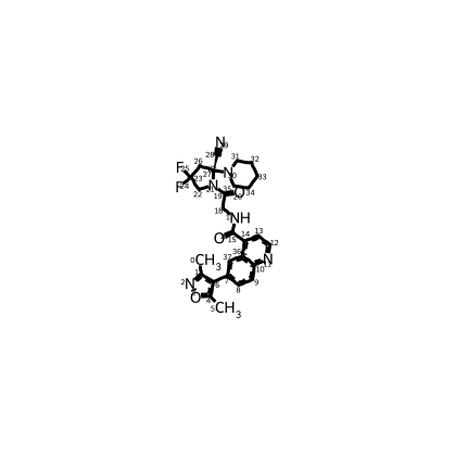 Cc1noc(C)c1-c1ccc2nccc(C(=O)NCC(=O)N3CC(F)(F)C[C@]3(C#N)N3CCCCC3)c2c1